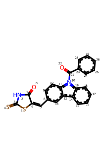 O=C1NC(=S)SC1=Cc1ccc2c(c1)c1ccccc1n2C(=O)c1ccccc1